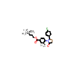 Cc1cc(C(=O)OCCC[Si](C)(C)C)ccc1N1C(=O)CSC1c1ccc(F)cc1